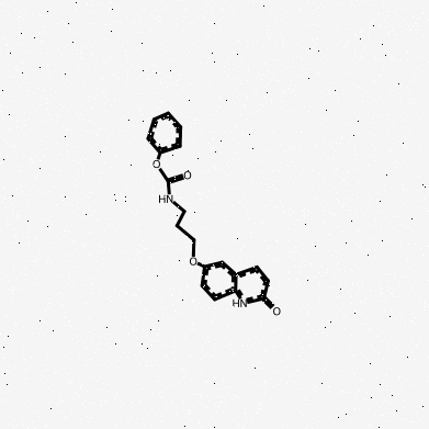 O=C(NCCCOc1ccc2[nH]c(=O)ccc2c1)Oc1ccccc1